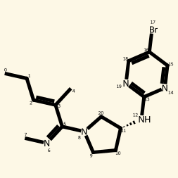 CC/C=C(C)/C(=N\C)N1CC[C@@H](Nc2ncc(Br)cn2)C1